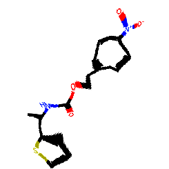 CC(NC(=O)OCc1ccc([N+](=O)[O-])cc1)c1cccs1